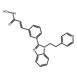 O=C(/C=C/c1cccc(-c2nc3ccccc3n2CCc2ccncc2)c1)NO